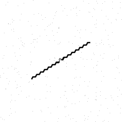 CCCCCCCCCCCCCC=C[P]C=CCCCCCCCCCCCCC